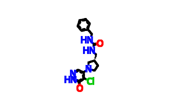 O=C(NCc1ccccc1)NC[C@@H]1CCN(c2cn[nH]c(=O)c2Cl)C1